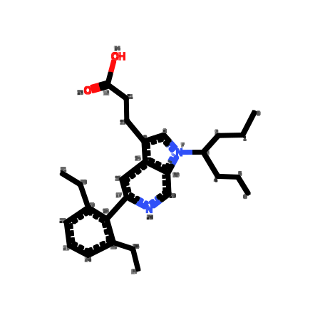 CCCC(CCC)n1cc(CCC(=O)O)c2cc(-c3c(CC)cccc3CC)ncc21